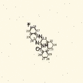 O=C(Nc1nc2c(nc1CC1CCCCC1)-c1ccc(F)cc1CC2)c1ccccc1